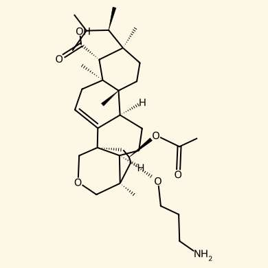 CC(=O)O[C@@H]1C[C@@]23COC[C@@](C)([C@@H]2CC[C@H]2C3=CC[C@@]3(C)[C@H](C(=O)O)[C@@](C)([C@H](C)C(C)C)CC[C@]23C)[C@H]1OCCCN